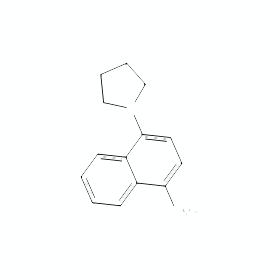 COc1ccc([S+]2CCCC2)c2ccccc12